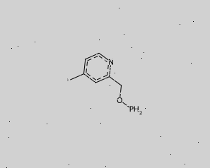 [CH]c1ccnc(COP)c1